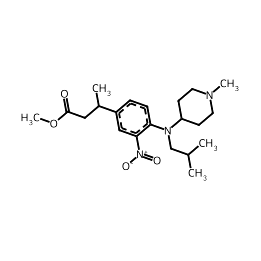 COC(=O)CC(C)c1ccc(N(CC(C)C)C2CCN(C)CC2)c([N+](=O)[O-])c1